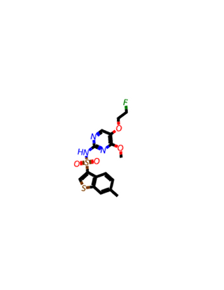 COc1nc(NS(=O)(=O)c2csc3cc(C)ccc23)ncc1OCCF